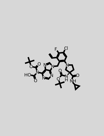 C=Cc1c(F)c(Cl)cc(N2CC[C@](NC(=O)OC(C)(C)C)(C(=O)NC3CC3)C2)c1Cn1cnc2c(N(C(=O)O)C(=O)OC(C)(C)C)ncnc21